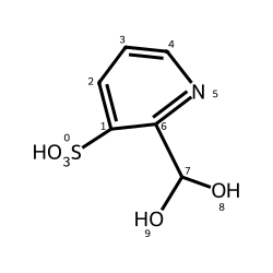 O=S(=O)(O)c1cccnc1C(O)O